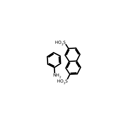 Nc1ccccc1.O=S(=O)(O)c1ccc2ccc(S(=O)(=O)O)cc2c1